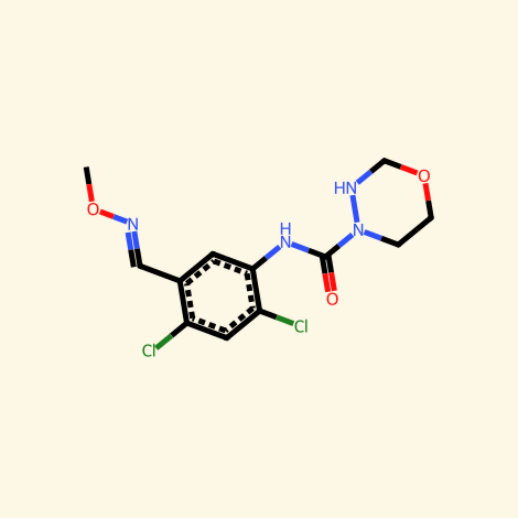 CON=Cc1cc(NC(=O)N2CCOCN2)c(Cl)cc1Cl